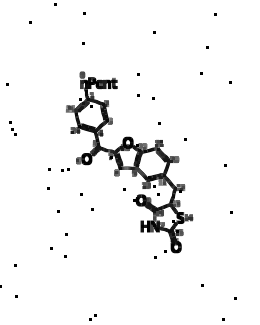 CCCCCc1ccc(C(=O)c2cc3cc(CC4SC(=O)NC4=O)ccc3o2)cc1